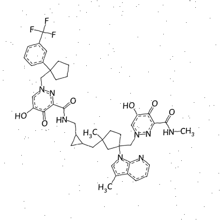 CNC(=O)c1nn(CC2(n3cc(C)c4cccnc43)CCC(C)(CC3CC3CNC(=O)c3nn(CC4(c5cccc(C(F)(F)F)c5)CCCC4)cc(O)c3=O)C2)cc(O)c1=O